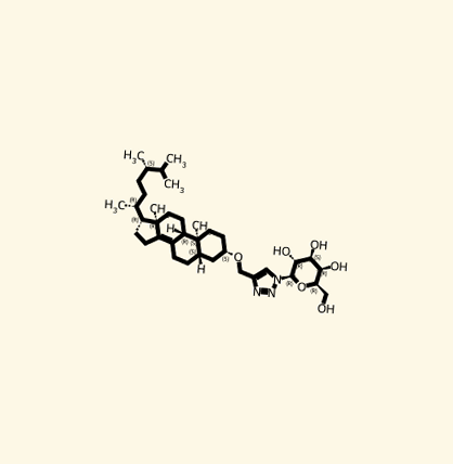 CC(C)[C@@H](C)CC[C@@H](C)[C@H]1CCC2=C3CC[C@H]4C[C@@H](OCc5cn([C@@H]6O[C@H](CO)[C@H](O)[C@H](O)[C@H]6O)nn5)CC[C@]4(C)[C@H]3CC[C@@]21C